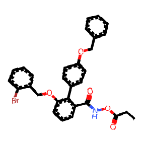 CCC(=O)ONC(=O)c1cccc(OCc2ccccc2Br)c1-c1ccc(OCc2ccccc2)cc1